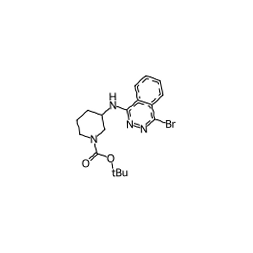 CC(C)(C)OC(=O)N1CCCC(Nc2nnc(Br)c3ccccc23)C1